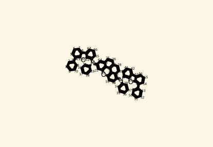 c1ccc(-c2cccc3c2oc2c(N(c4ccccc4)c4cc5c6c(ccc7ccc8c(N(c9ccccc9)c9cccc%10c9oc9c(-c%11ccccc%11)cccc9%10)ccc(c8c76)O5)c4)cccc23)cc1